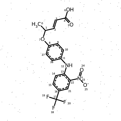 CC(C=CC(=O)O)Oc1ccc(Nc2ccc(C(F)(F)F)cc2[N+](=O)[O-])cc1